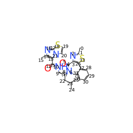 Cc1nc(C(=O)N(C)[C@H](CNC(=O)c2c(C)nc3sccn23)CC(C)C)c(-c2ccccc2)s1